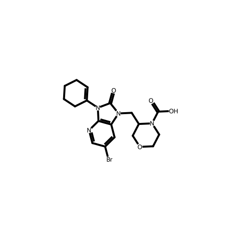 O=C(O)N1CCOCC1Cn1c(=O)n(C2=CCCCC2)c2ncc(Br)cc21